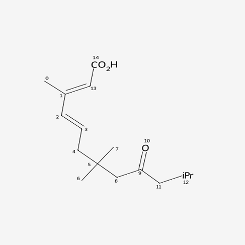 CC(C=CCC(C)(C)CC(=O)CC(C)C)=CC(=O)O